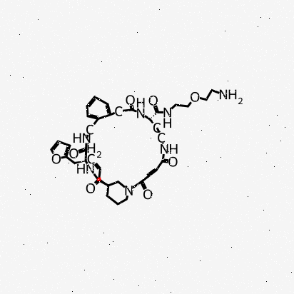 C=CC[C@]12CCCN(C1)C(=O)/C=C/C(=O)NCC[C@@H](C(=O)NCCOCCN)NC(=O)Cc1ccccc1CNC(=O)[C@H](Cc1ccco1)NC2=O